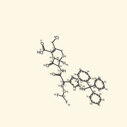 O=C(O)C1=C(CCl)CS[C@@H]2C(NC(=O)/C(=N/OC(F)F)c3csc(NC(c4ccccc4)(c4ccccc4)c4ccccc4)n3)C(=O)N12